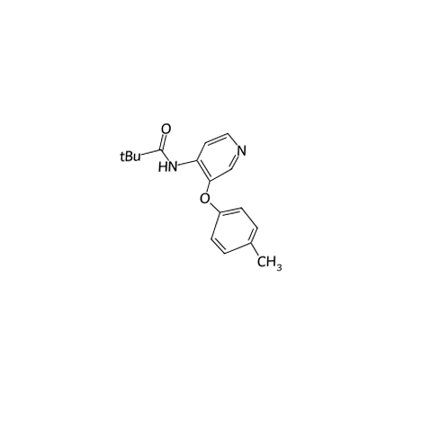 Cc1ccc(Oc2cnccc2NC(=O)C(C)(C)C)cc1